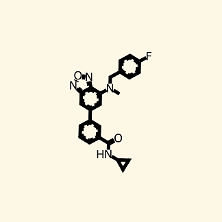 CN(Cc1ccc(F)cc1)c1cc(-c2cccc(C(=O)NC3CC3)c2)cc2nonc12